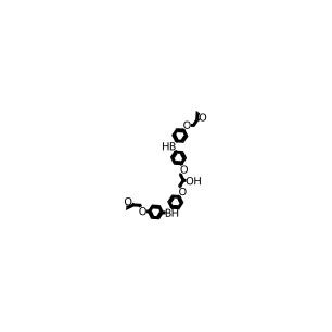 OC(COc1ccc(Bc2ccc(OCC3CO3)cc2)cc1)COc1ccc(Bc2ccc(OCC3CO3)cc2)cc1